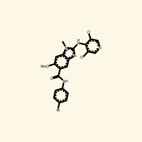 COc1cc2c(cc1C(=O)Nc1ccc(Br)cc1)nc(Nc1c(Cl)cncc1Cl)n2C